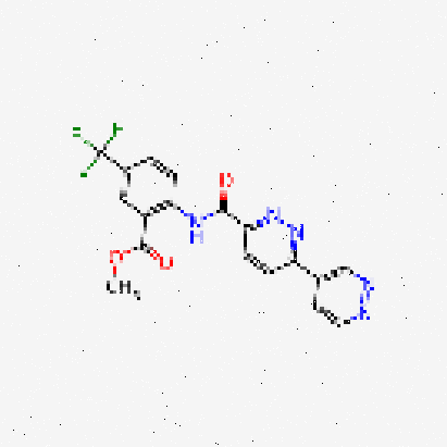 COC(=O)c1cc(C(F)(F)F)ccc1NC(=O)c1ccc(-c2ccnnc2)nn1